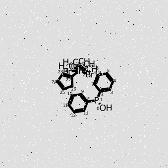 OP(c1ccccc1)c1ccccc1.[CH3][Ir]([CH3])([CH3])([CH3])([CH3])([Br])([Br])[C]1=CC=CC1